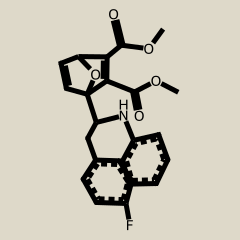 COC(=O)C1=C(C(=O)OC)C2(C(Cc3ccc(F)cc3)Nc3ccccc3)C=CC1O2